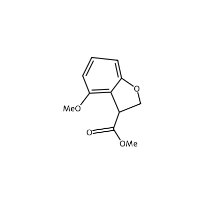 COC(=O)C1COc2cccc(OC)c21